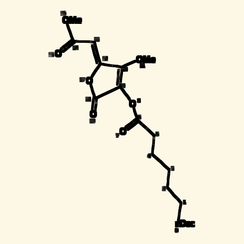 CCCCCCCCCCCCCCCC(=O)OC1=C(OC)C(=CC(=O)OC)OC1=O